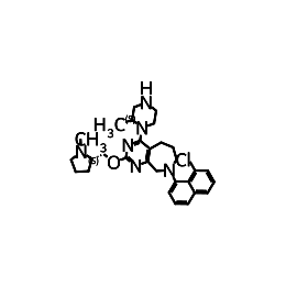 C[C@H]1CNCCN1c1nc(OC[C@@H]2CCCN2C)nc2c1CCCN(c1cccc3cccc(Cl)c13)C2